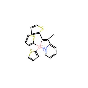 CC1=C(c2cccs2)[B-](c2cccs2)(c2cccs2)[n+]2ccccc21